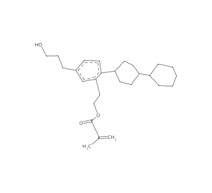 C=C(C)C(=O)OCCc1cc(CCCO)ccc1C1CCC(C2CCCCC2)CC1